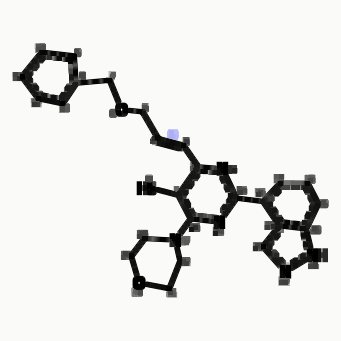 Sc1c(/C=C/COCc2ccccc2)nc(-c2cccc3[nH]ncc23)nc1N1CCOCC1